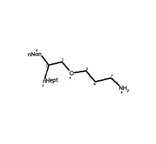 CCCCCCCCCC(CCCCCCC)COCCCN